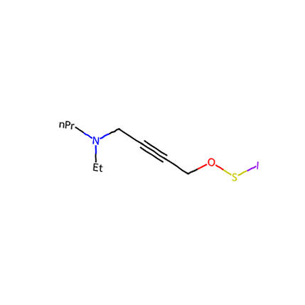 CCCN(CC)CC#CCOSI